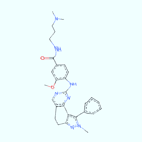 COc1cc(C(=O)NCCCN(C)C)ccc1Nc1ncc2c(n1)-c1c(nn(C)c1-c1ccccc1)CC2